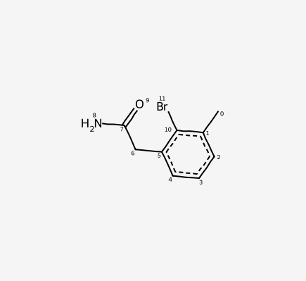 Cc1cccc(CC(N)=O)c1Br